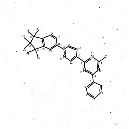 Cc1nc(-c2ccccc2)nc(-c2ccc(-c3ccc4c(c3)C(C)(C)C(C)(C)C4(C)C)nc2)n1